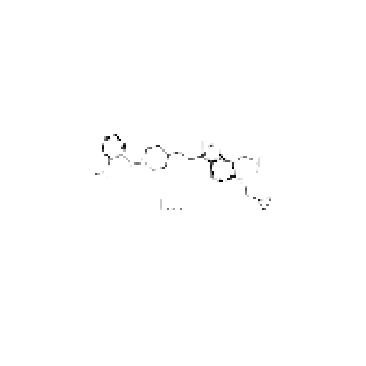 COc1ccccc1CN1CCC(CCc2noc3c(CN(C)C)c(OCC4CC4)ccc23)CC1.Cl.Cl